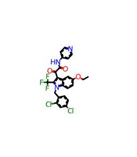 CCOc1ccc2c(c1)c(C(=O)C(=O)Nc1ccncc1)c(C(F)(F)F)n2Cc1ccc(Cl)cc1Cl